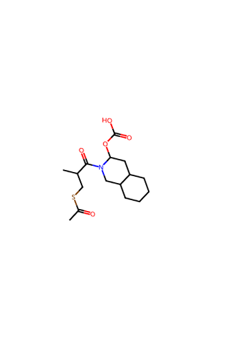 CC(=O)SCC(C)C(=O)N1CC2CCCCC2CC1OC(=O)O